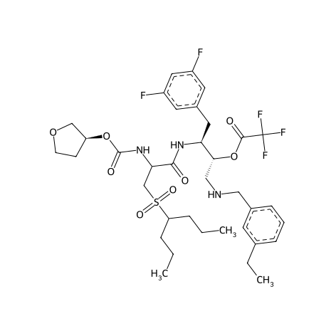 CCCC(CCC)S(=O)(=O)CC(NC(=O)O[C@H]1CCOC1)C(=O)N[C@@H](Cc1cc(F)cc(F)c1)[C@@H](CNCc1cccc(CC)c1)OC(=O)C(F)(F)F